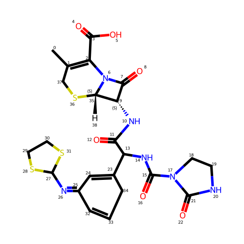 CC1=C(C(=O)O)N2C(=O)[C@H](NC(=O)C(NC(=O)N3CCNC3=O)C3=CC(=NC4SCCS4)C=CC3)[C@@H]2SC1